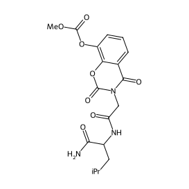 COC(=O)Oc1cccc2c(=O)n(CC(=O)NC(CC(C)C)C(N)=O)c(=O)oc12